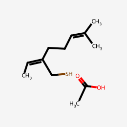 CC(=O)O.CC=C(CS)CCC=C(C)C